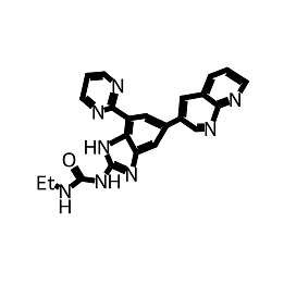 CCNC(=O)Nc1nc2cc(-c3cnc4ncccc4c3)cc(-c3ncccn3)c2[nH]1